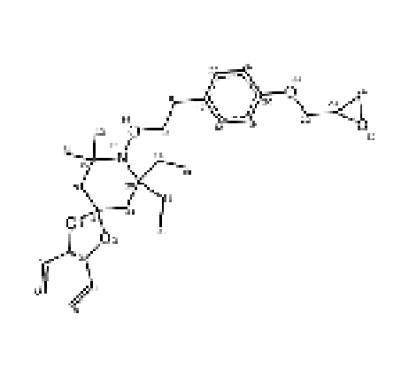 C=CCOC1(OCC=C)CC(C)(C)N(OCCc2ccc(OCC3CO3)cc2)C(CC)(CC)C1